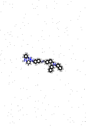 CN(C1=CC=CC2C1N=CN2c1ccc2cc(/C=C/c3ccc4cc(CN(c5ccc6ccccc6c5)c5ccc6ccccc6c5)ccc4c3)ccc2c1)c1ccccc1